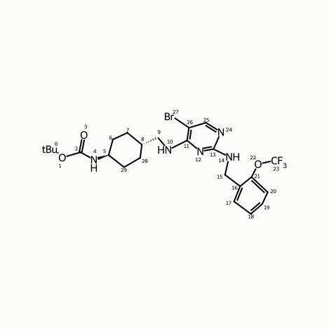 CC(C)(C)OC(=O)N[C@H]1CC[C@H](CNc2nc(NCc3ccccc3OC(F)(F)F)ncc2Br)CC1